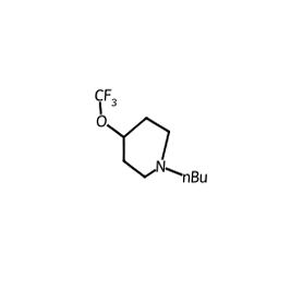 CCCCN1CCC(OC(F)(F)F)CC1